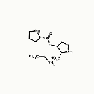 NCC(=O)O.O=C(OC1CCN[C@@H]1C(=O)O)[C@@H]1CCCN1